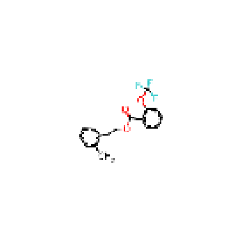 Cc1ccccc1CCOC(=O)c1ccccc1OC(F)(F)F